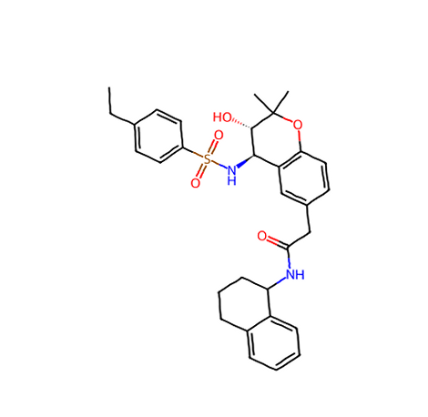 CCc1ccc(S(=O)(=O)N[C@@H]2c3cc(CC(=O)NC4CCCc5ccccc54)ccc3OC(C)(C)[C@H]2O)cc1